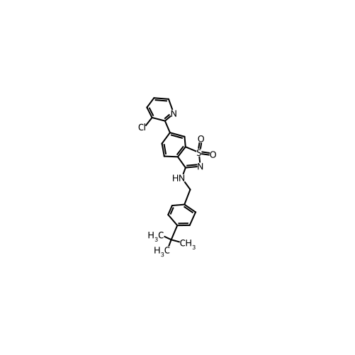 CC(C)(C)c1ccc(CNC2=NS(=O)(=O)c3cc(-c4ncccc4Cl)ccc32)cc1